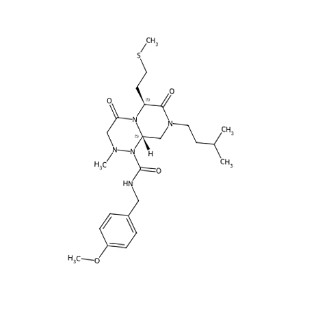 COc1ccc(CNC(=O)N2[C@H]3CN(CCC(C)C)C(=O)[C@H](CCSC)N3C(=O)CN2C)cc1